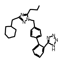 CCCc1nc(CC2CCCCC2)nn1Cc1ccc(-c2ccccc2-c2nnn[nH]2)cc1